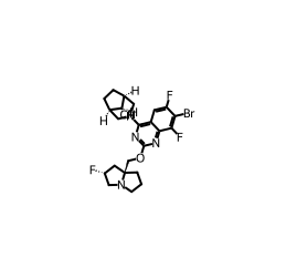 N#C[C@H]1[C@@H]2CC[C@H]1CN(c1nc(OC[C@@]34CCCN3C[C@H](F)C4)nc3c(F)c(Br)c(F)cc13)C2